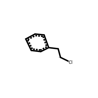 Cl[CH]Cc1ccccc1